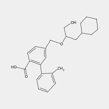 Cc1ccccc1-c1cc(COC(CO)CC2CCCCC2)ccc1C(=O)O